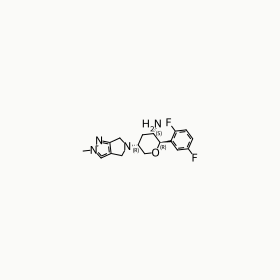 Cn1cc2c(n1)CN([C@H]1CO[C@H](c3cc(F)ccc3F)[C@@H](N)C1)C2